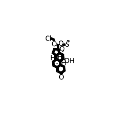 CSCO[C@]1(C(=O)OCCl)CC[C@H]2[C@@H]3CCC4=CC(=O)CC[C@]4(C)[C@H]3[C@@H](O)C[C@@]21C